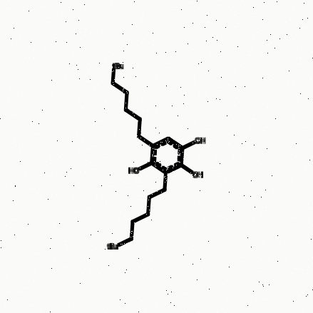 CC(C)(C)CCCCCc1cc(O)c(O)c(CCCCCC(C)(C)C)c1O